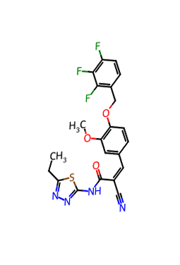 CCc1nnc(NC(=O)C(C#N)=Cc2ccc(OCc3ccc(F)c(F)c3F)c(OC)c2)s1